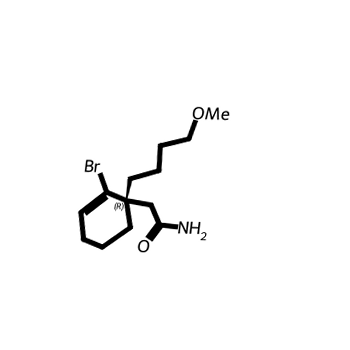 COCCCC[C@@]1(CC(N)=O)CCCC=C1Br